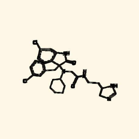 O=C(CN(C1CCCCC1)C1(Cc2cccc(Cl)c2)C(=O)Nc2cc(Cl)ccc21)NCCC1CN=CN1